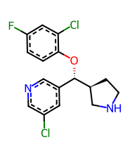 Fc1ccc(O[C@@H](c2cncc(Cl)c2)[C@H]2CCNC2)c(Cl)c1